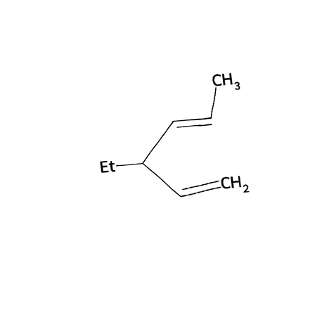 C=CC(C=CC)CC